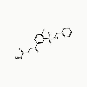 CNC(=O)CCC(=O)c1ccc(Cl)c(S(=O)(=O)NCc2ccccc2)c1